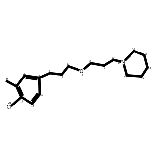 Cc1cc(CCCOCCCN2CCCCC2)ccc1Cl